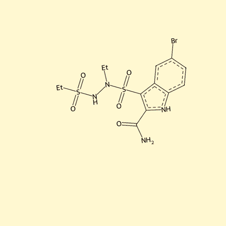 CCN(NS(=O)(=O)CC)S(=O)(=O)c1c(C(N)=O)[nH]c2ccc(Br)cc12